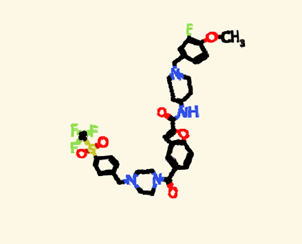 COc1ccc(CN2CCC(NC(=O)c3cc4cc(C(=O)N5CCN(Cc6ccc(S(=O)(=O)C(F)(F)F)cc6)CC5)ccc4o3)CC2)cc1F